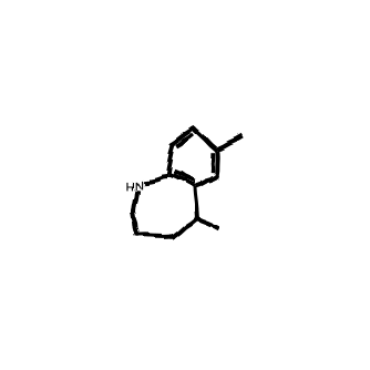 Cc1ccc2c(c1)C(C)CCCN2